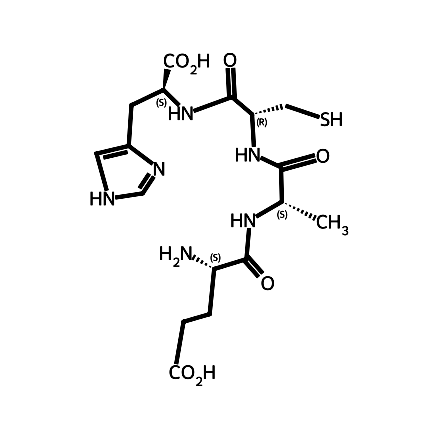 C[C@H](NC(=O)[C@@H](N)CCC(=O)O)C(=O)N[C@@H](CS)C(=O)N[C@@H](Cc1c[nH]cn1)C(=O)O